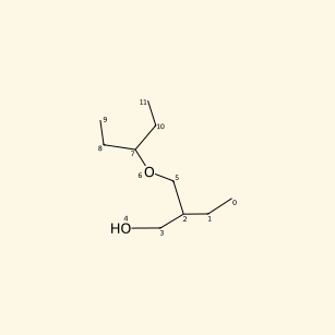 CCC(CO)COC(CC)CC